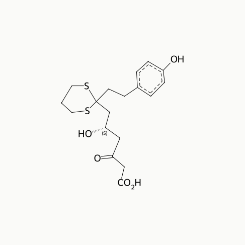 O=C(O)CC(=O)C[C@H](O)CC1(CCc2ccc(O)cc2)SCCCS1